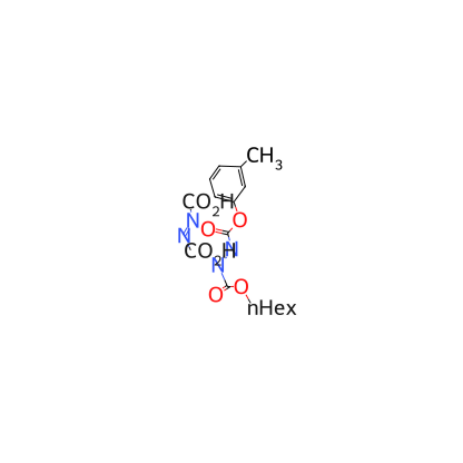 CCCCCCOC(=O)N=NC(=O)Oc1cccc(C)c1.O=C(O)N=NC(=O)O